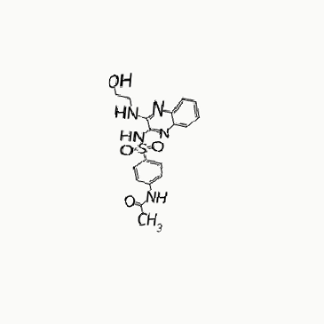 CC(=O)Nc1ccc(S(=O)(=O)Nc2nc3ccccc3nc2NCCO)cc1